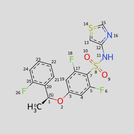 C[C@H](Oc1cc(F)c(S(=O)(=O)Nc2cscn2)c(F)c1)c1ccccc1F